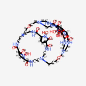 O=C1NCCN2CCNC(=O)c3ccc(c(=O)n3O)C(=O)NCCN(CCCOCN3CCNC(=O)c4ccc(n(O)c4=O)C(=O)NCCN(CCNC(=O)c4ccc(n(O)c4=O)C(=O)NCC3)CCOCC2)CCNC(=O)c2ccc1c(=O)n2O